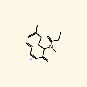 C=C/C=C\C(=C)C(CCC(=C)C)N(C)C(=C)CC